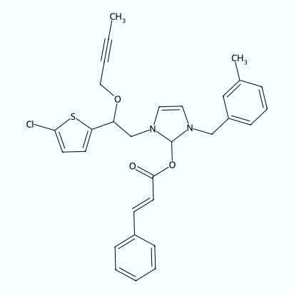 CC#CCOC(CN1C=CN(Cc2cccc(C)c2)C1OC(=O)/C=C/c1ccccc1)c1ccc(Cl)s1